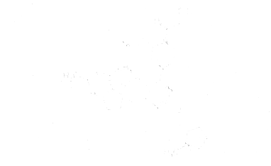 C=CC(=O)N1CCN(c2nc(OCC3CCCN3C)nc3c2CCC2(CCc4cc(C)cc(C)c42)C3)CC1CC#N